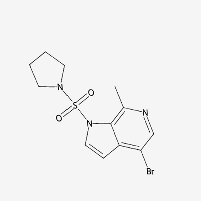 Cc1ncc(Br)c2ccn(S(=O)(=O)N3CCCC3)c12